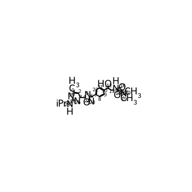 Cc1cc(-c2nc(-c3ccc(C(O)CNS(=O)(=O)N(C)C)cc3)no2)nc(NC(C)C)n1